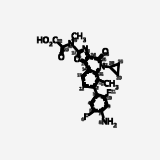 Cc1c(-c2cc(F)c(N)cc2F)ccc2c3oc(N(C)C(=O)C(=O)O)nc3c(=O)n(C3CC3)c12